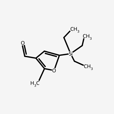 CC[Si](CC)(CC)c1cc(C=O)c(C)o1